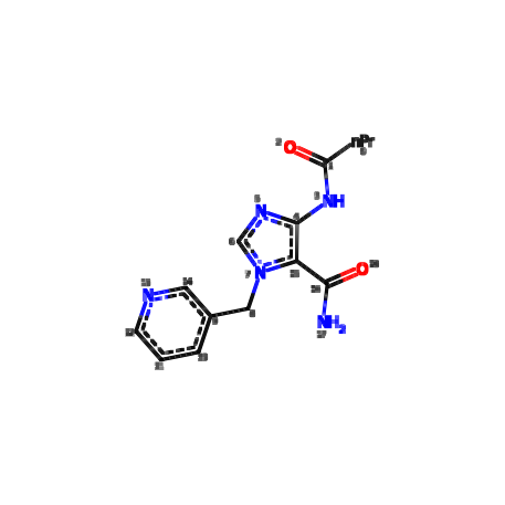 CCCC(=O)Nc1ncn(Cc2cccnc2)c1C(N)=O